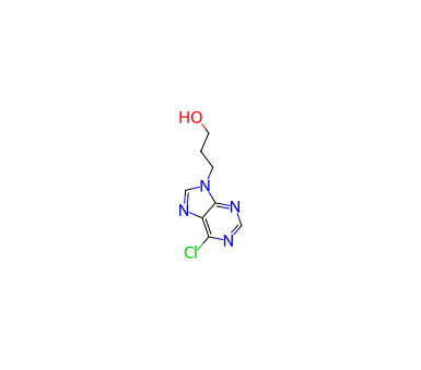 OCCCn1cnc2c(Cl)ncnc21